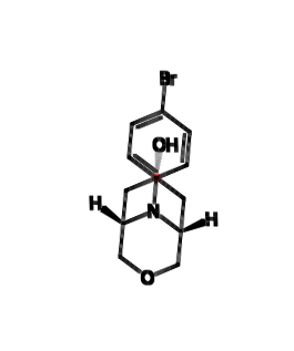 O[C@H]1C[C@H]2COC[C@@H](C1)N2c1ccc(Br)cc1